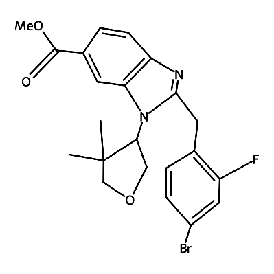 COC(=O)c1ccc2nc(Cc3ccc(Br)cc3F)n(C3COCC3(C)C)c2c1